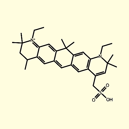 CCN1c2cc3c(cc2C(CS(=O)(=O)O)=CC1(C)C)C=c1cc2c(cc1C3(C)C)=[N+](CC)C(C)(C)CC2C